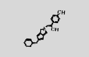 Oc1ccc(C(O)CN2C=C3C=C(CC4C=CCCC4)C=C3C2)cc1